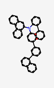 c1ccc(-c2ccccc2N(c2ccc(-c3cccc(-c4cccc5ccccc45)c3)cc2)c2cc3ccccc3c3ccccc23)cc1